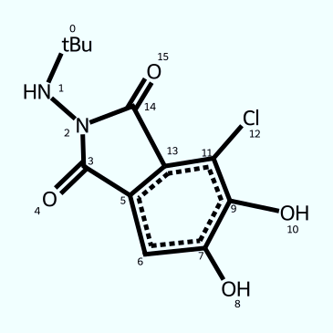 CC(C)(C)NN1C(=O)c2cc(O)c(O)c(Cl)c2C1=O